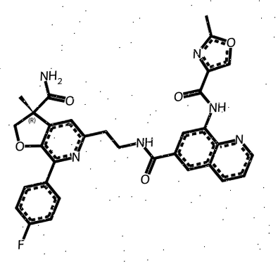 Cc1nc(C(=O)Nc2cc(C(=O)NCCc3cc4c(c(-c5ccc(F)cc5)n3)OC[C@]4(C)C(N)=O)cc3cccnc23)co1